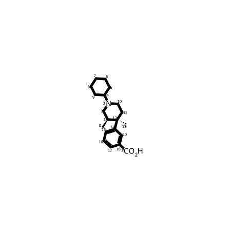 C[C@H]1CN(C2CCCCC2)CC[C@@]1(C)c1cccc(C(=O)O)c1